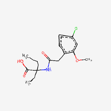 CCC(CC)(NC(=O)Cc1ccc(Cl)cc1OC)C(=O)O